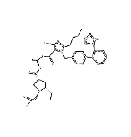 CCCCc1nc(Cl)c(C(=O)O[C@H](C)OC(=O)[C@@H]2C[C@H](OC)[C@@H](O[N+](=O)[O-])C2)n1Cc1ccc(-c2ccccc2-c2nnn[nH]2)cc1